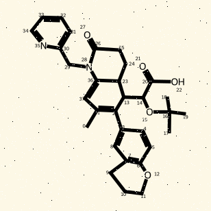 CC1=C(c2ccc3c(c2)CCCO3)C(C(OC(C)(C)C)C(=O)O)C2CCC(=O)N(Cc3ccccn3)C2=C1